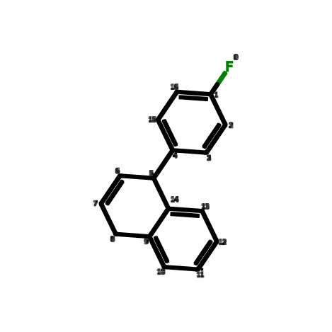 Fc1ccc(C2C=CCc3c[c]ccc32)cc1